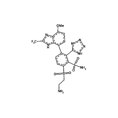 COc1ccc(-c2ccc(S(=O)(=O)CCN)c(S(N)(=O)=O)c2-c2nnn[nH]2)c2[nH]c(C(F)(F)F)nc12